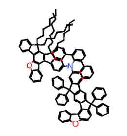 CCCCCCCC1(CCCCCCC)c2ccccc2-c2c1c1c(c3c2oc2ccccc23)-c2ccc(N(c3ccc4c(c3)C(c3ccccc3)(c3ccccc3)c3cc5c(cc3-4)C(c3ccccc3)(c3ccccc3)c3ccc4oc6ccccc6c4c3-5)c3c(-c4ccccc4)cccc3-c3ccccc3)cc2C1(CCCCCCC)CCCCCCC